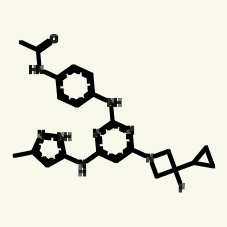 CC(=O)Nc1ccc(Nc2nc(Nc3cc(C)n[nH]3)cc(N3CC(F)(C4CC4)C3)n2)cc1